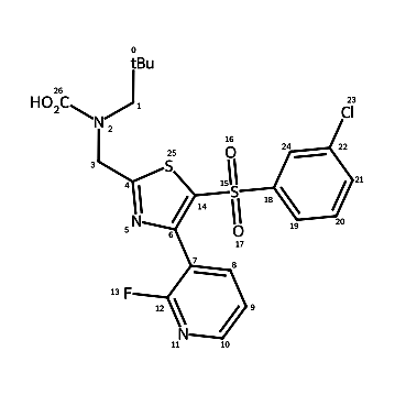 CC(C)(C)CN(Cc1nc(-c2cccnc2F)c(S(=O)(=O)c2cccc(Cl)c2)s1)C(=O)O